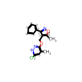 Cc1cc(Cl)nnc1OCc1c(-c2ccccc2)noc1C